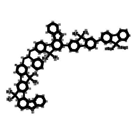 CCCCCCCC1(CCCCCCC)c2ccccc2-c2ccc(-c3ccc4c(c3)C(C)(C)c3cc(-c5cc6c(c7c5oc5ccccc57)-c5ccc(CC(Cc7ccc8c(c7)C(C)(C)c7cc9c(cc7-8)C(C)(C)c7ccc8oc%10ccccc%10c8c7-9)c7ccccc7)cc5C6(C)C)ccc3-4)cc21